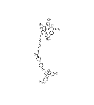 C=CN(/C=C\C)CC1(c2ccc(Cl)cc2Cl)OC[C@H](COc2ccc(N3CCN(C(=O)COCCOCCOCCOCC(=O)NC(C(=O)N4C[C@H](O)CC4C(=O)NC(C)c4ccc(-c5scnc5C)cc4)C(C)(C)C)CC3)cc2)O1